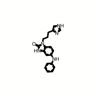 O=c1[nH]c2cc(Nc3ccccc3)ccc2n1CCCc1c[nH]cn1